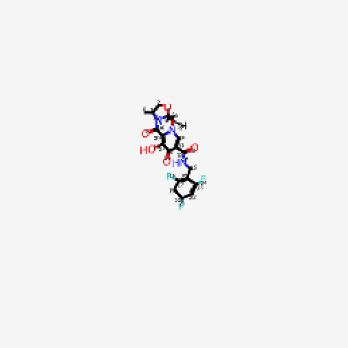 CC1COC23CCC[C@H]2n2cc(C(=O)NCC4=C(F)CC(F)C=C4F)c(=O)c(O)c2C(=O)N13